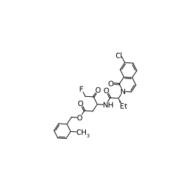 CC[C@@H](C(=O)NC(CC(=O)OCC1C=CC=CC1C)C(=O)CF)n1ccc2ccc(Cl)cc2c1=O